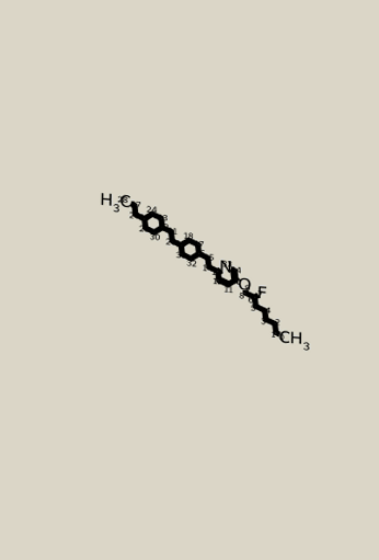 CCCCCCC(F)COc1ccc(CCC2CCC(CCC3CCC(CCC)CC3)CC2)nc1